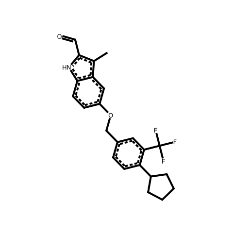 Cc1c(C=O)[nH]c2ccc(OCc3ccc(C4CCCC4)c(C(F)(F)F)c3)cc12